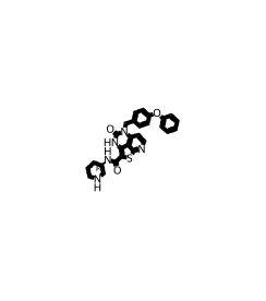 O=C(N[C@@H]1CCCNC1)c1sc2nccc3c2c1NC(=O)N3Cc1ccc(Oc2ccccc2)cc1